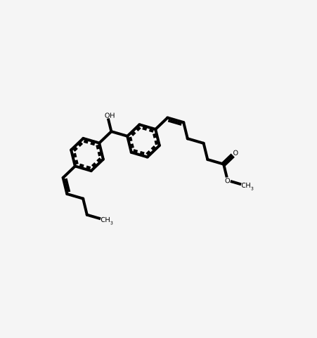 CCC/C=C\c1ccc(C(O)c2cccc(/C=C\CCCC(=O)OC)c2)cc1